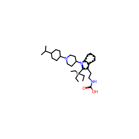 CC[Si](CC)(CC)c1c(CCNC(=O)O)c2ccccc2n1C1CCN(C2CCC(C(C)C)CC2)CC1